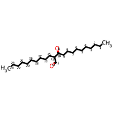 CCCCCCCCCCC(=O)C([C]=O)CCCCCCCCCC